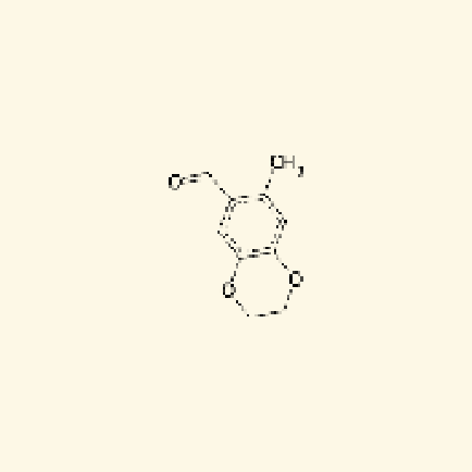 Cc1cc2c(cc1C=O)OCCO2